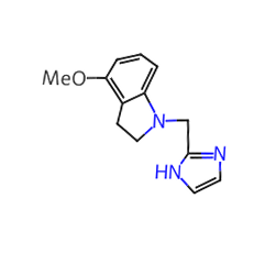 COc1cccc2c1CCN2Cc1ncc[nH]1